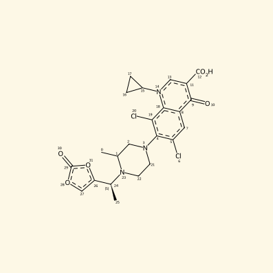 CC1CN(c2c(Cl)cc3c(=O)c(C(=O)O)cn(C4CC4)c3c2Cl)CCN1[C@@H](C)c1coc(=O)o1